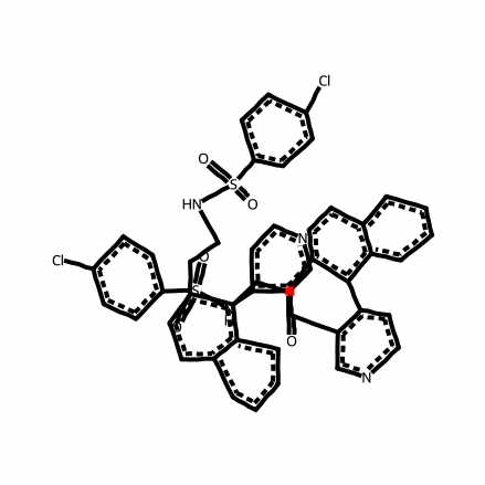 O=C(c1cnccc1-c1c(CCNS(=O)(=O)c2ccc(Cl)cc2)ccc2ccccc12)c1cnccc1-c1c(CCNS(=O)(=O)c2ccc(Cl)cc2)ccc2ccccc12